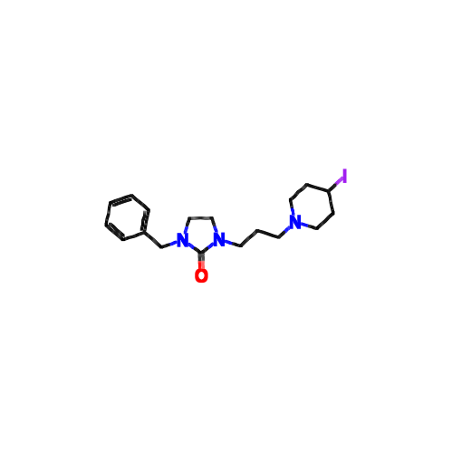 O=C1N(CCCN2CCC(I)CC2)CCN1Cc1ccccc1